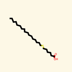 CCCCCCCCCCCCCCCCCSCCCCCC(=O)O